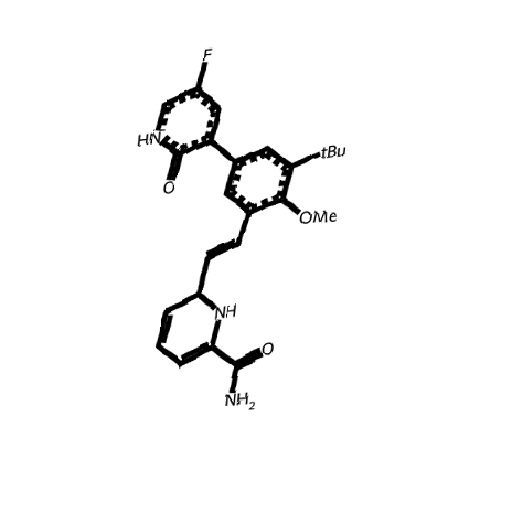 COc1c(/C=C/C2C=C[C]=C(C(N)=O)N2)cc(-c2cc(F)c[nH]c2=O)cc1C(C)(C)C